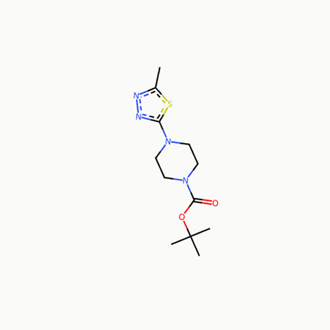 Cc1nnc(N2CCN(C(=O)OC(C)(C)C)CC2)s1